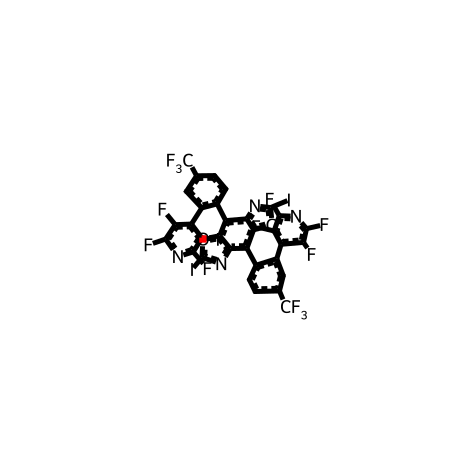 Fc1nc(F)c(F)c(-c2cc(C(F)(F)F)ccc2-c2c3nc(I)oc3c(-c3ccc(C(F)(F)F)cc3-c3c(F)c(F)nc(F)c3F)c3nc(I)oc23)c1F